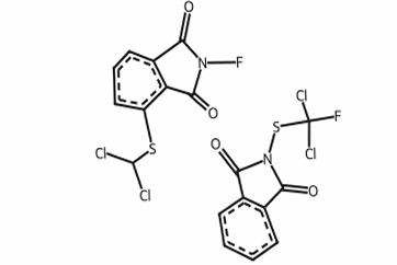 O=C1c2cccc(SC(Cl)Cl)c2C(=O)N1F.O=C1c2ccccc2C(=O)N1SC(F)(Cl)Cl